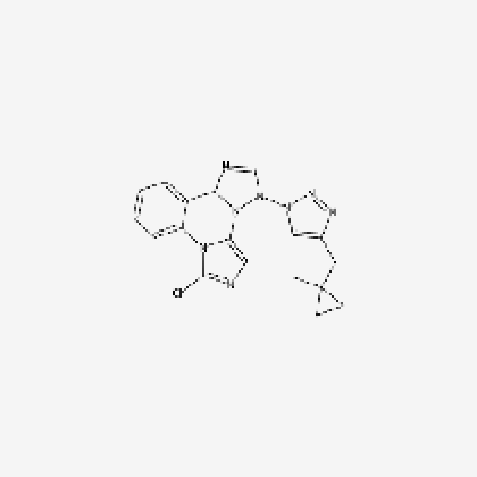 CC1(Cc2cn(N3C=NC4c5ccccc5-n5c(cnc5Cl)N43)nn2)CC1